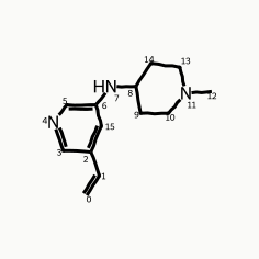 C=Cc1cncc(NC2CCN(C)CC2)c1